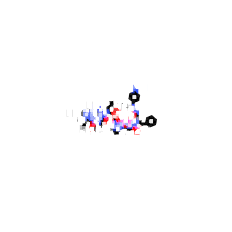 CC[C@H](C)[C@@H]([C@@H](CC(=O)N1CCC[C@H]1[C@H](OC)[C@@H](C)C(=O)N[C@H](CC(=O)NCc1ccc(N)cc1)Cc1ccccc1)OC)N(C)C(=O)C(NC(=O)[C@H](C(C)C)N(C)C)C(C)C